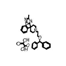 Cc1noc(C2(c3ccccc3)CCN(CCOC(c3ccccc3)c3ccccc3)CC2)n1.O=C(O)C(=O)O